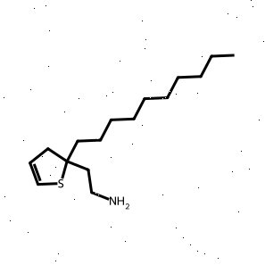 CCCCCCCCCCC1(CCN)CC=CS1